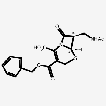 CC(=O)NC[C@@H]1C(=O)N2C(C(=O)O)=C(C(=O)OCc3ccccc3)CS[C@H]12